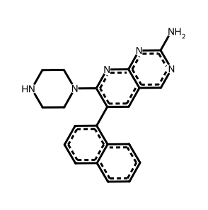 Nc1ncc2cc(-c3cccc4ccccc34)c(N3CCNCC3)nc2n1